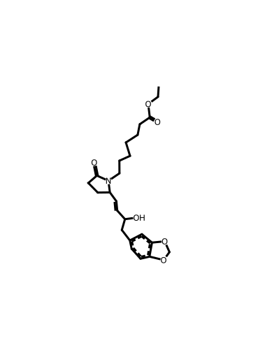 CCOC(=O)CCCCCCN1C(=O)CCC1/C=C/C(O)Cc1ccc2c(c1)OCO2